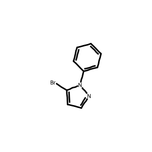 Brc1ccnn1-c1ccccc1